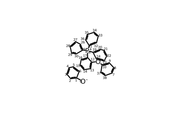 [O-]c1ccccc1.c1ccc(Oc2ccccc2[P+](c2ccccc2)(c2ccccc2)c2ccccc2)cc1